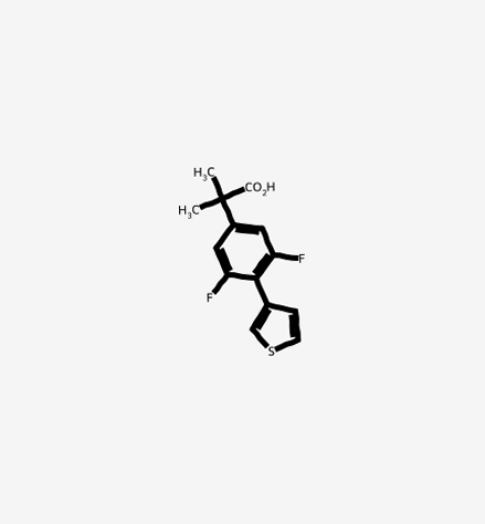 CC(C)(C(=O)O)c1cc(F)c(-c2ccsc2)c(F)c1